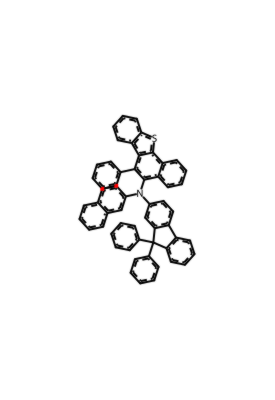 c1ccc(-c2c(N(c3ccc4c(c3)C(c3ccccc3)(c3ccccc3)c3ccccc3-4)c3ccc4ccccc4c3)c3ccccc3c3sc4ccccc4c23)cc1